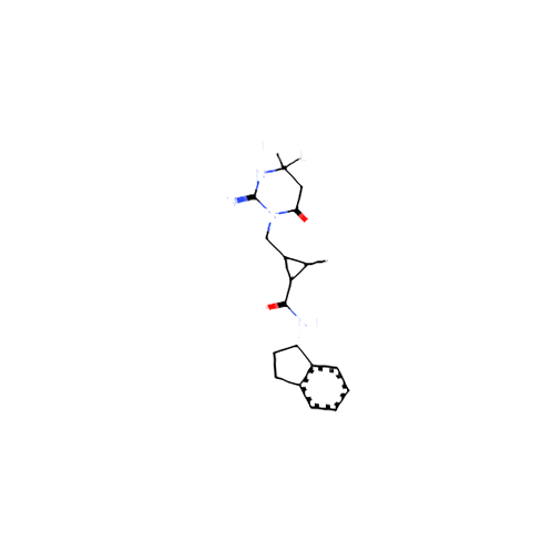 CCC1(CC)CC(=O)N(CC2C(C)C2C(=O)N[C@H]2CCc3ccccc32)C(=N)N1